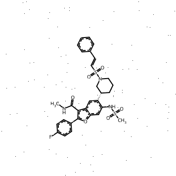 CNC(=O)c1c(-c2ccc(F)cc2)oc2cc(NS(C)(=O)=O)c([C@H]3CCCN(S(=O)(=O)/C=C/c4ccccc4)C3)cc12